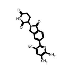 Cc1cc(C#N)c(-c2ccc3c(c2)CN(C2CCC(=O)NC2=O)C3=O)nc1N